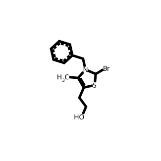 CC1=C(CCO)SC(Br)N1Cc1ccccc1